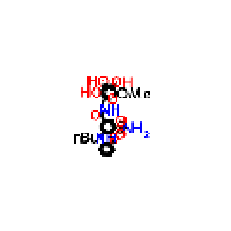 CCCCNc1cc(C(=O)NC[C@H]2OC(OC)[C@H](O)[C@@H](O)[C@@H]2O)cc(S(N)(=O)=O)c1Oc1ccccc1